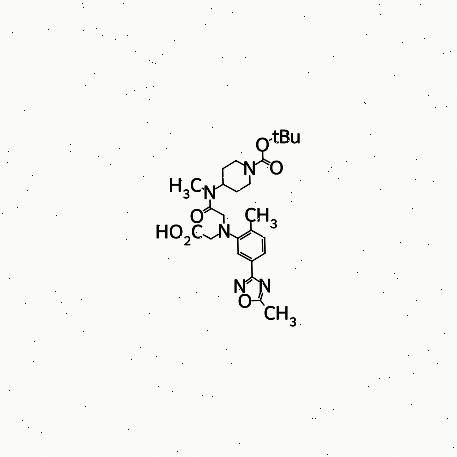 Cc1nc(-c2ccc(C)c(N(CC(=O)O)CC(=O)N(C)C3CCN(C(=O)OC(C)(C)C)CC3)c2)no1